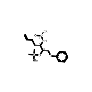 C=CCC[C@@H](N[S@@+]([O-])C(C)(C)C)[C@@H](COc1ccccc1)O[Si](C)(C)C(C)(C)C